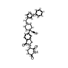 N#CC1(c2ccc3c(c2)CN(C2CCC(=O)NC2=O)C3=O)CCN(Cc2cnn(-c3ccccc3)c2)CC1